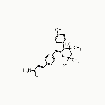 CC1(C)CC(=Cc2ccc(/C=C/C(N)=O)cc2)C(c2ccc(O)cc2)C(C)(C)C1